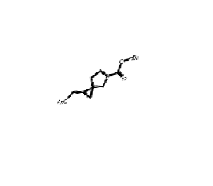 CC(=O)OCC1CC12CCN(C(=O)OC(C)(C)C)C2